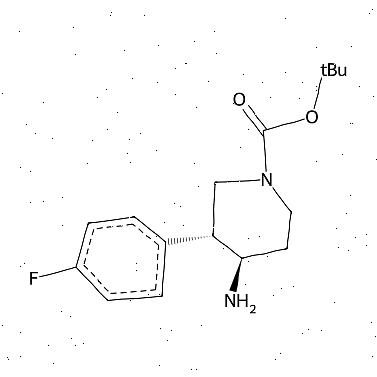 CC(C)(C)OC(=O)N1CC[C@@H](N)[C@H](c2ccc(F)cc2)C1